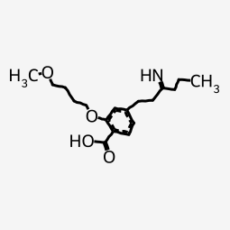 CCCC(=N)CCc1ccc(C(=O)O)c(OCCCCOC)c1